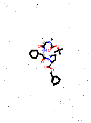 C[C@@H](C(=O)N[C@H](C(=O)N1CCC[C@H]1C(=O)OCc1ccccc1)C1CCCCC1)N(C)C(=O)OC(C)(C)C